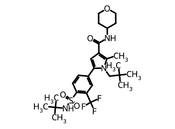 Cc1c(C(=O)NC2CCOCC2)cc(-c2ccc(S(=O)(=O)NC(C)(C)C)c(C(F)(F)F)c2)n1CC(C)(C)C